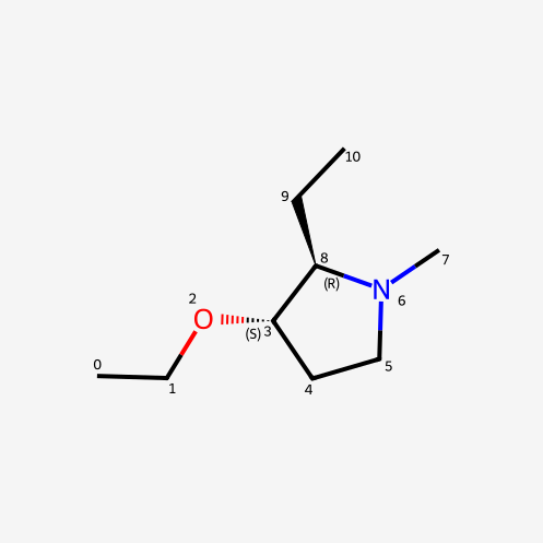 CCO[C@H]1CCN(C)[C@@H]1CC